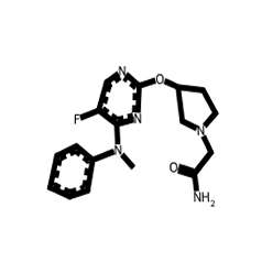 CN(c1ccccc1)c1nc(OC2CCN(CC(N)=O)C2)ncc1F